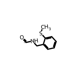 CSc1ccccc1CN[C]=O